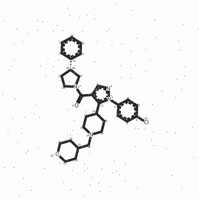 O=C(c1cnn(-c2ccc(Cl)cc2)c1C1CCN(CC2CCOCC2)CC1)N1CC[C@H](c2ccccc2)C1